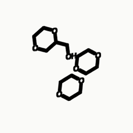 C1COCCO1.C1COCCO1.OCC1COCCO1